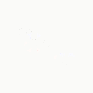 COc1cc(N(Cc2ccc(/C=C/C(=O)Nc3ccccc3N)cc2)Cc2cc3ccccc3[nH]2)cc(OC)c1OC